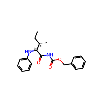 CC[C@H](C)[C@H](Nc1ccccc1)C(=O)NC(=O)OCc1ccccc1